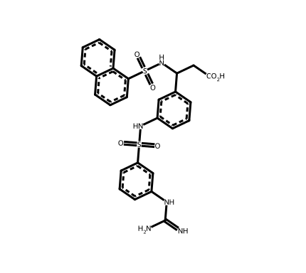 N=C(N)Nc1cccc(S(=O)(=O)Nc2cccc(C(CC(=O)O)NS(=O)(=O)c3cccc4ccccc34)c2)c1